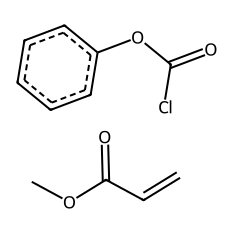 C=CC(=O)OC.O=C(Cl)Oc1ccccc1